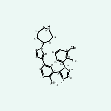 Nc1ncc(-c2cnn(C3CCCNCC3)c2)cc1-c1nnnn1-c1cccc(Cl)c1F